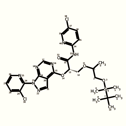 CC(CO[Si](C)(C)C(C)(C)C)OC[C@H](Oc1ncnc2c1cnn2-c1ncccc1Cl)C(=O)Nc1ccc(Cl)cn1